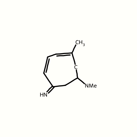 CNC1CC(=N)/C=C\C=C(\C)C1